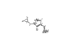 N=Cc1cnn(CC2CC2)c1